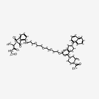 CCCC(C(=O)NC=O)N1C(=O)c2cccc(NCCOCCOCCOCCOc3nc4c(c(N5CCN(C(=O)CC)C(C)C5)n3)CCN(c3cccc5ccccc35)C4)c2C1=O